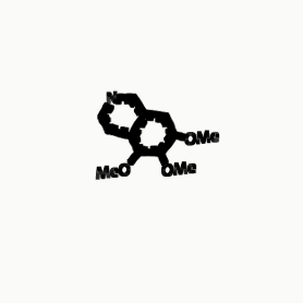 COc1cc2cnccc2c(OC)c1OC